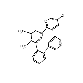 CC(CNc1ccc(Cl)cn1)N(C)C(=O)c1ccccc1-c1ccccc1